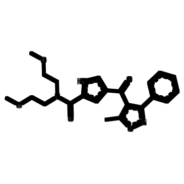 COCCN(CCOC)C(=O)c1cc(C(=O)c2c(-c3ccccc3)noc2C)c[nH]1